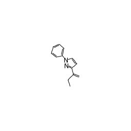 C=C(CC)c1ccn(-c2ccccc2)n1